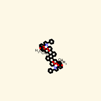 CC1(C)c2ccccc2-c2ccc(-c3c4cccc(-c5ccc(-n6c(-c7ccccc7)ccc6-c6ccccc6)cc5)c4c(-c4ccc5c(c4)C(C)(C)c4ccccc4-5)c4cccc(-c5ccc(-n6c(-c7ccccc7)ccc6-c6ccccc6)cc5)c34)cc21